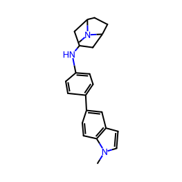 CN1C2CCC1CC(Nc1ccc(-c3ccc4c(ccn4C)c3)cc1)C2